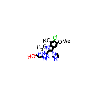 COc1cc2c(-n3ccnc3)c(-c3nnc(CCO)[nH]3)n(C)c2c(C#N)c1Cl